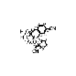 CC(=O)OC1[C@H](N2CCSC2=NC#N)c2cc(C#N)ccc2OC1(C)C